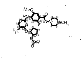 COc1cc(C(=O)NN2CCN(C)CC2)c(F)cc1Nc1ncc(C(F)(F)F)c(O[C@@H]2CCC[C@H]2N=S(=O)=O)n1